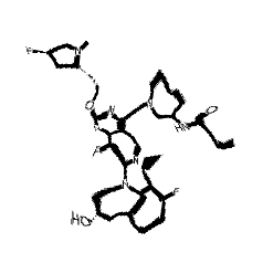 C#Cc1c(F)ccc2c1N(c1ncc3c(N4CCCCC(NC(=O)C=C)C4)nc(OC[C@@H]4C[C@@H](F)CN4C)nc3c1F)C[C@@H](O)C2